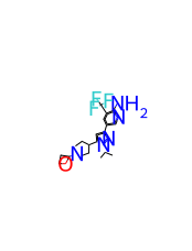 CC(C)n1nc(-c2cnc(N)c(C(F)(F)F)c2)cc1C1CCN(C2CCO2)CC1